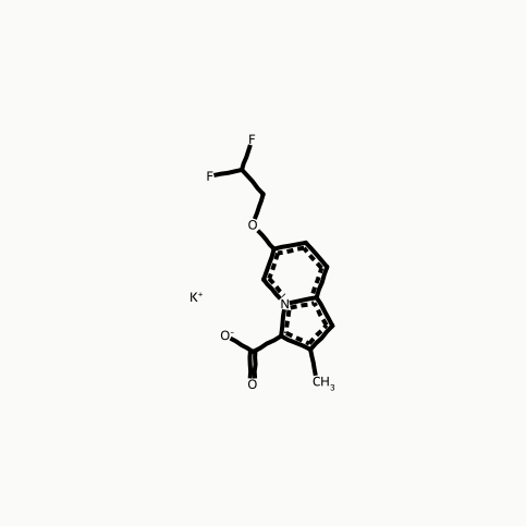 Cc1cc2ccc(OCC(F)F)cn2c1C(=O)[O-].[K+]